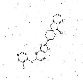 N[C@@H]1c2ccccc2CC12CCN(c1nc3nc(Sc4ccncc4Cl)cnc3[nH]1)CC2